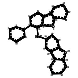 c1ccc(-c2ccc3c(oc4ccccc43)c2Nc2ccc3sc4ccccc4c3c2)cc1